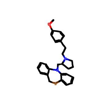 COc1ccc(CCN2CCC[C@H]2CN2c3ccccc3CSc3ccccc32)cc1